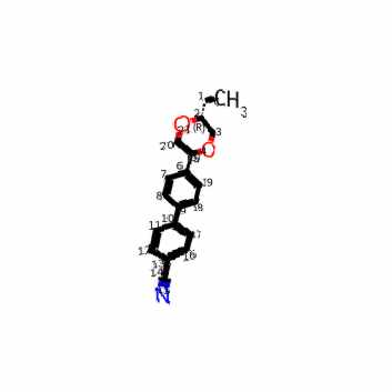 CC[C@@H]1CO[C@@H](c2ccc(-c3ccc(C#N)cc3)cc2)CO1